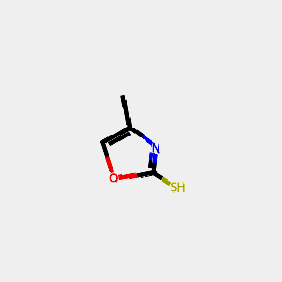 Cc1coc(S)n1